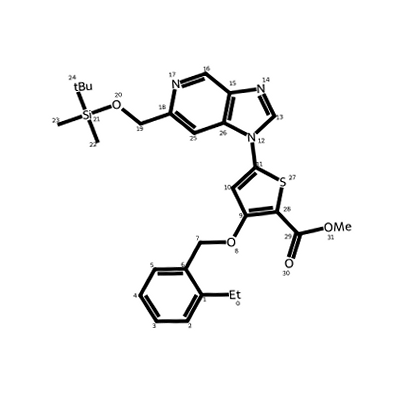 CCc1ccccc1COc1cc(-n2cnc3cnc(CO[Si](C)(C)C(C)(C)C)cc32)sc1C(=O)OC